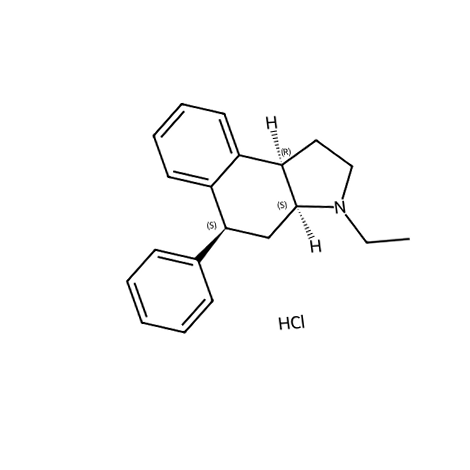 CCN1CC[C@@H]2c3ccccc3[C@H](c3ccccc3)C[C@@H]21.Cl